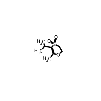 CC1=C(C(C)C)S(=O)(=O)CCO1